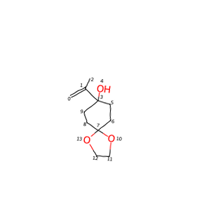 C=C(C)C1(O)CCC2(CC1)OCCO2